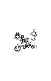 O=C(NC(CCCc1ccccc1)B(O)O)C(CC(=O)N1CCOCC1)NS(=O)(=O)c1cnccn1